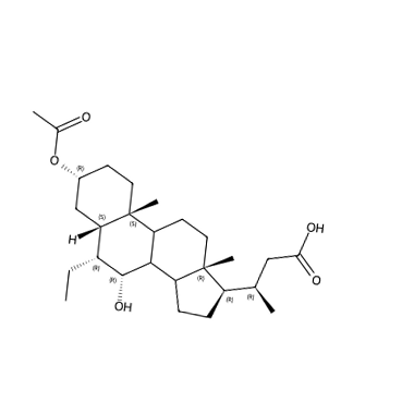 CC[C@H]1[C@@H](O)C2C3CC[C@H]([C@H](C)CC(=O)O)[C@@]3(C)CCC2[C@@]2(C)CC[C@@H](OC(C)=O)C[C@@H]12